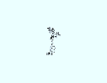 CC(C)(C)OC(=O)[C@@H](N)CNC(=O)CCCCc1ccc2c(n1)N=C(C(C)(C)C)CC2